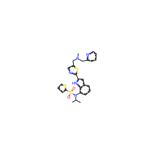 CC(C)N(c1cccc2cc(-c3ncc(CN(C)Cc4ccccn4)s3)[nH]c12)S(=O)(=O)c1cccs1